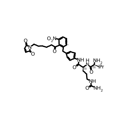 CC(C)[C@H](N)C(=O)N[C@@H](CCCNC(N)=O)C(=O)Nc1ccc(Cc2[c]ccc([N+](=O)[O-])c2C(=O)CCCCCN2C(=O)C=CC2=O)cc1